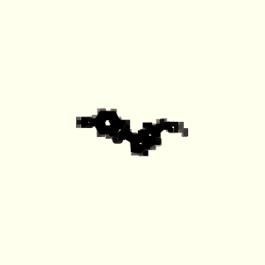 CSc1nn2c(-c3nc4ccc(O)cc4o3)cnc2s1